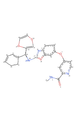 CNC(=O)c1cc(Oc2ccc3nc(NC(C4=CC=CCC4)C4=COC=CO4)oc3c2)ccn1